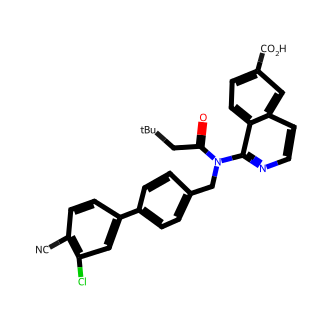 CC(C)(C)CC(=O)N(Cc1ccc(-c2ccc(C#N)c(Cl)c2)cc1)c1nccc2cc(C(=O)O)ccc12